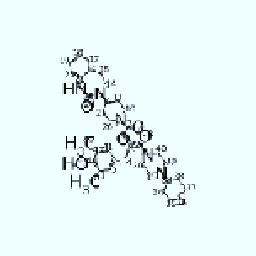 Cc1cc(C[C@@H](OC(=O)N2CCC(N3CCc4ccccc4NC3=O)CC2)C(=O)N2CCN(C3CCSCC3)CC2)cc(C)c1O